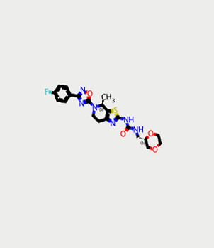 C[C@H]1c2sc(NC(=O)NC[C@H]3COCCO3)nc2CCN1c1nc(-c2ccc(F)cc2)no1